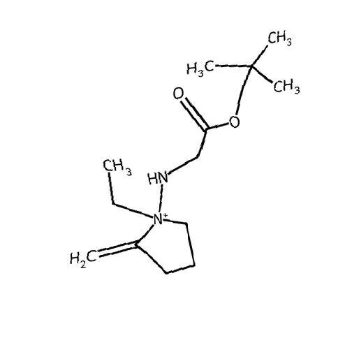 C=C1CCC[N+]1(CC)NCC(=O)OC(C)(C)C